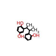 CC(c1ccccc1O)C(C)c1cc(O)ccc1O